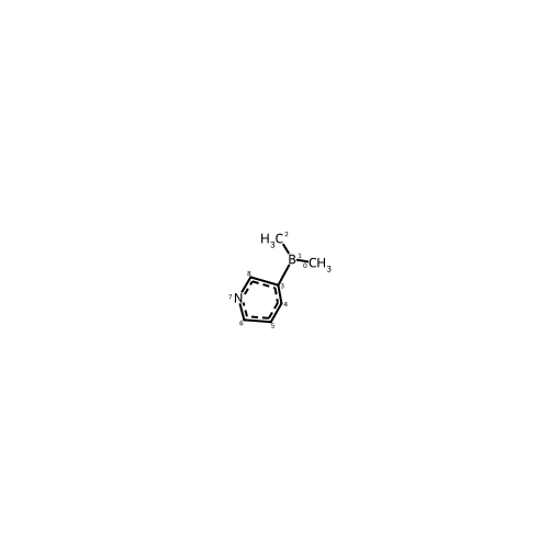 CB(C)c1cccnc1